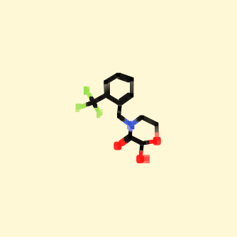 O=C1C(O)OCCN1Cc1ccccc1C(F)(F)F